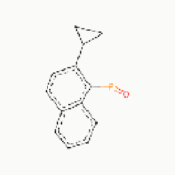 O=Pc1c(C2CC2)ccc2ccccc12